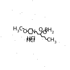 BOC(=O)C(CCCC)CCN1CCC(OCC)CC1.Cl.Cl